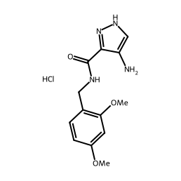 COc1ccc(CNC(=O)c2n[nH]cc2N)c(OC)c1.Cl